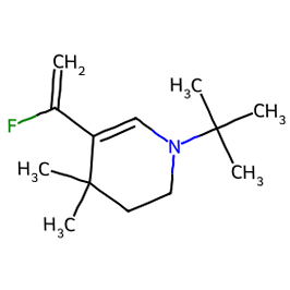 C=C(F)C1=CN(C(C)(C)C)CCC1(C)C